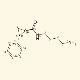 NCCCCNC(=O)[C@@H]1C[C@H]1c1ccccc1